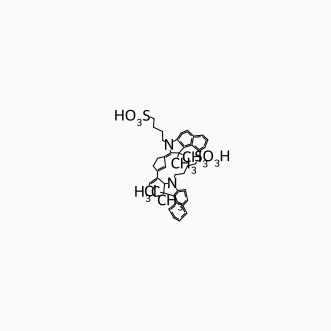 CC1(C)C(=C2C=C(C(=CCl)C3N(CCCCS(=O)(=O)O)c4ccc5ccccc5c4C3(C)C)CC2)N(CCCCS(=O)(=O)O)c2ccc3ccccc3c21